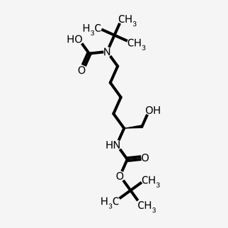 CC(C)(C)OC(=O)N[C@H](CO)CCCCN(C(=O)O)C(C)(C)C